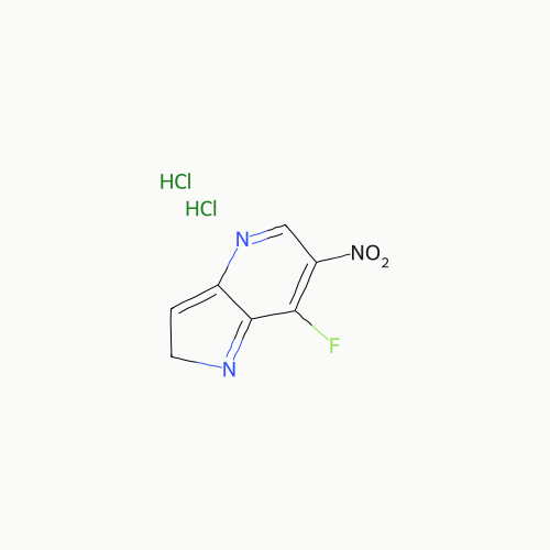 Cl.Cl.O=[N+]([O-])c1cnc2c(c1F)=NCC=2